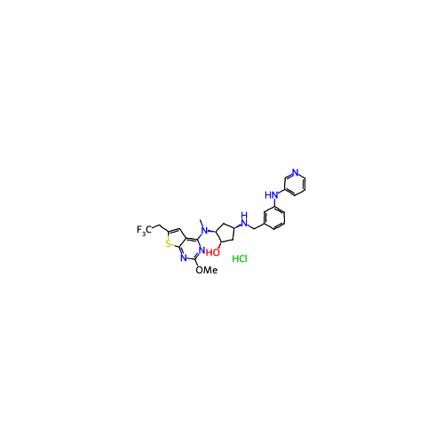 COc1nc(N(C)[C@H]2C[C@@H](NCc3cccc(Nc4cccnc4)c3)C[C@H]2O)c2cc(CC(F)(F)F)sc2n1.Cl